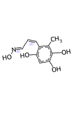 Cc1c(O)c(O)cc(O)c1/C=C\C=N\O